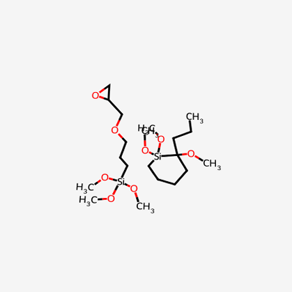 CCCC1(OC)CCCC[Si]1(OC)OC.CO[Si](CCCOCC1CO1)(OC)OC